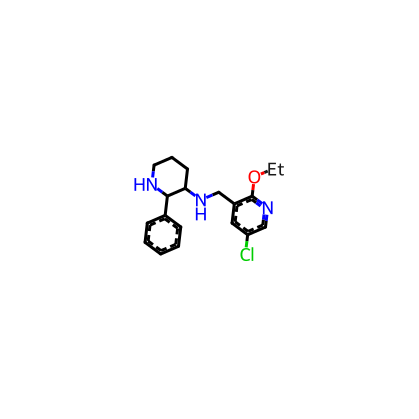 CCOc1ncc(Cl)cc1CNC1CCCNC1c1ccccc1